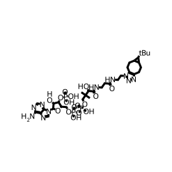 CC(C)(C)C1C2CCc3nnn(CCNC(=O)CCNC(=O)C(O)C(C)(C)COP(=O)(O)OP(=O)(O)OCC4OC(n5cnc6c(N)ncnc65)C(O)C4OP(=O)(O)O)c3CCC21